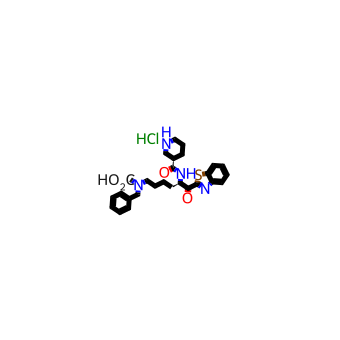 Cl.O=C(N[C@@H](CCCCN(Cc1ccccc1)C(=O)O)C(=O)c1nc2ccccc2s1)[C@H]1CCCNC1